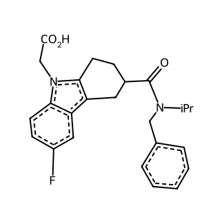 CC(C)N(Cc1ccccc1)C(=O)C1CCc2c(c3cc(F)ccc3n2CC(=O)O)C1